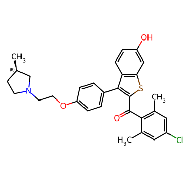 Cc1cc(Cl)cc(C)c1C(=O)c1sc2cc(O)ccc2c1-c1ccc(OCCN2CC[C@@H](C)C2)cc1